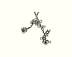 CCCN(CCC)CCCCC(NC(=O)C(NC(=O)CCCC#Cc1cnc(S(C)(=O)=O)nc1)C(C)C)C(=O)NCC(=O)NCOC/C=C/c1c2c(nc3cc(F)c(C)cc13)-c1cc3c(c(=O)n1C2)COC(=O)[C@]3(O)CC